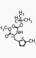 COC(=O)[C@H](Cc1ccc(C)s1)NC(=O)OC(C)(C)C